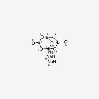 OB1OB2OB(O)OB(O1)O2.[NaH].[NaH].[NaH]